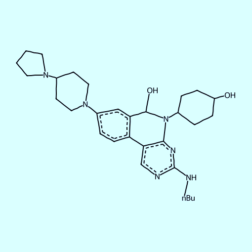 CCCCNc1ncc2c(n1)N(C1CCC(O)CC1)C(O)c1cc(N3CCC(N4CCCC4)CC3)ccc1-2